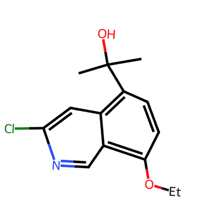 CCOc1ccc(C(C)(C)O)c2cc(Cl)ncc12